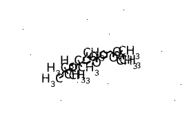 CCCC(C)(C)c1ccc(C(C)(C)c2ccc(OC(=O)c3ccc(CC(=O)OC(C)(CC)CC)cc3)c(C)c2)cc1C